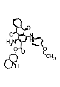 CCOc1ccc(Nc2cc(C(=O)O[C@@H]3CC[C@@H]4CCCCC4C3)c(N)c3c2C(=O)c2ccccc2C3=O)cc1